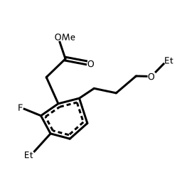 CCOCCCc1ccc(CC)c(F)c1CC(=O)OC